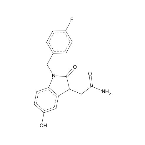 NC(=O)CC1C(=O)N(Cc2ccc(F)cc2)c2ccc(O)cc21